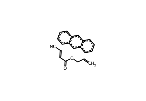 C=CCOC(=O)C=CC#N.c1ccc2cc3ccccc3cc2c1